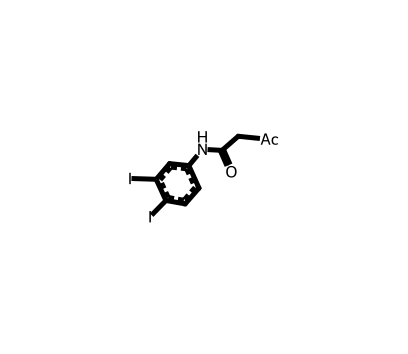 CC(=O)CC(=O)Nc1ccc(I)c(I)c1